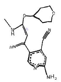 CN/C(=C\C(=N)c1cnc(N)cc1C#N)OC1CCOCC1